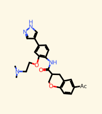 CC(=O)c1ccc2c(c1)CC(C(=O)Nc1ccc(-c3cn[nH]c3)cc1OCCN(C)C)CO2